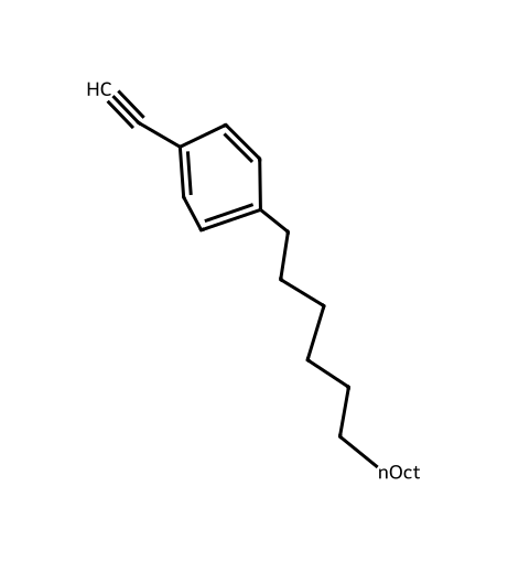 C#Cc1ccc(CCCCCCCCCCCCCC)cc1